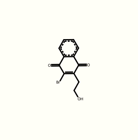 O=C1C(Br)=C(CCO)C(=O)c2ccccc21